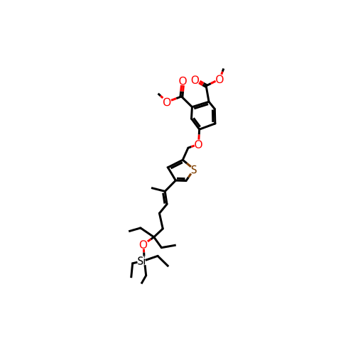 CCC(CC)(CCC=C(C)c1csc(COc2ccc(C(=O)OC)c(C(=O)OC)c2)c1)O[Si](CC)(CC)CC